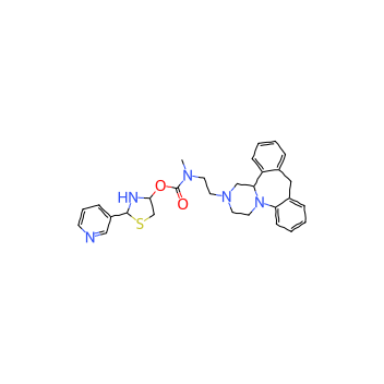 CN(CCN1CCN2c3ccccc3Cc3ccccc3C2C1)C(=O)OC1CSC(c2cccnc2)N1